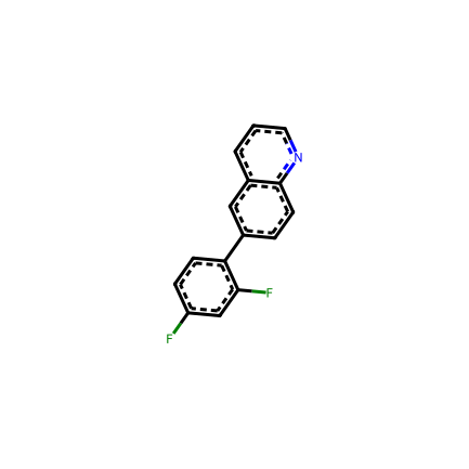 Fc1ccc(-c2ccc3ncccc3c2)c(F)c1